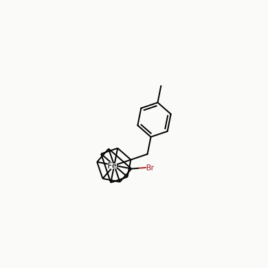 Cc1ccc(C[C]23[CH]4[CH]5[CH]6[CH]2[Fe]56432789[CH]3[CH]2[CH]7[C]8(Br)[CH]39)cc1